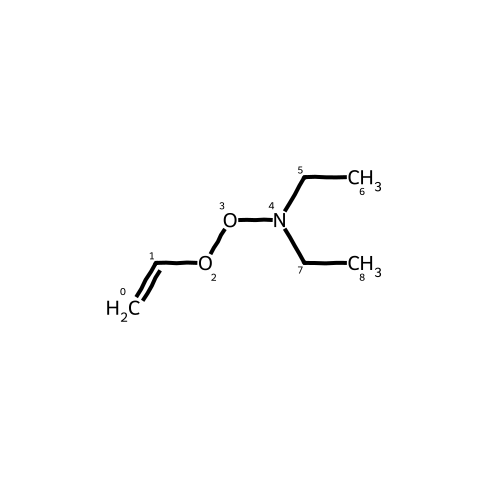 C=COON(CC)CC